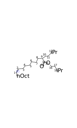 CCCCCCCC/C=C\CCCCCCC(CCC(C)C)C(=O)OCCC(C)C